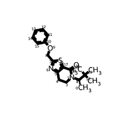 C[C@@H](N1CCc2nc(COc3ccccc3)sc2C1=O)C(C)(C)C